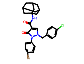 O=C(NC12CC3CC(CC(C3)C1)C2)c1cn(Cc2ccc(Cl)cc2)n(-c2ccc(Br)cc2)c1=O